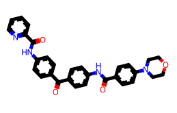 O=C(Nc1ccc(C(=O)c2ccc(NC(=O)c3ccccn3)cc2)cc1)c1ccc(N2CCOCC2)cc1